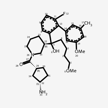 COCCCCC(O)(c1cccc(F)c1-c1cc(C)cc(OC)c1)[C@@H]1CCCN(C(=O)[C@@H]2CC[C@H](N)C2)C1